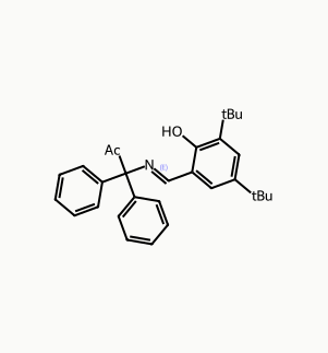 CC(=O)C(/N=C/c1cc(C(C)(C)C)cc(C(C)(C)C)c1O)(c1ccccc1)c1ccccc1